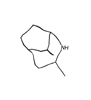 CC1CC2CCC(N1)C2C